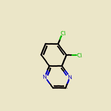 Clc1ccc2nc[c]nc2c1Cl